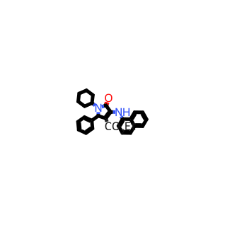 CCOC(=O)C1=C(Nc2cccc3ccccc23)C(=O)N(C2CCCCC2)C1c1ccccc1